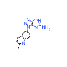 Cc1ccc2cc(-n3nnc4cnc(N)nc43)ccc2n1